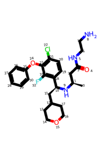 C[C@H](CC(=O)NCCN)N[C@@H](CC1CCOCC1)c1ccc(Cl)c(Oc2ccccc2)c1F